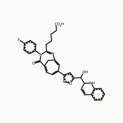 O=C(O)CCCCC1=NC2=CC(c3cc(C(O)C4C=Cc5ccccc5N4)on3)=CC=C(C2)C(=O)N1c1ccc(F)cc1